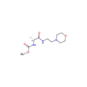 C[C@@H](NC(=O)OC(C)(C)C)C(=O)NCCN1CCOCC1